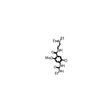 CCNC(=O)Nc1cc(OC)c(C(=O)NCCN(CC)CC)cc1Cl